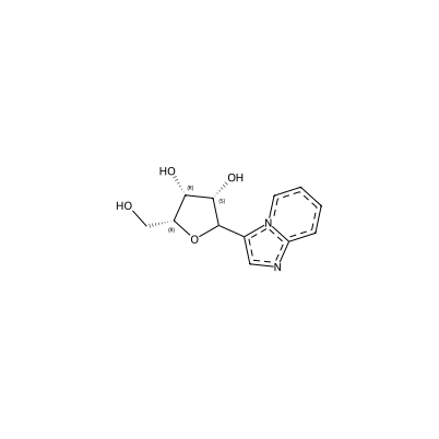 OC[C@H]1OC(c2cnc3ccccn23)[C@@H](O)[C@H]1O